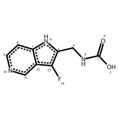 O=C(O)NCc1[nH]c2ccncc2c1F